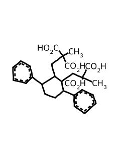 CC(CC1C(c2ccccc2)CCC(c2ccccc2)C1CC(C)(C(=O)O)C(=O)O)(C(=O)O)C(=O)O